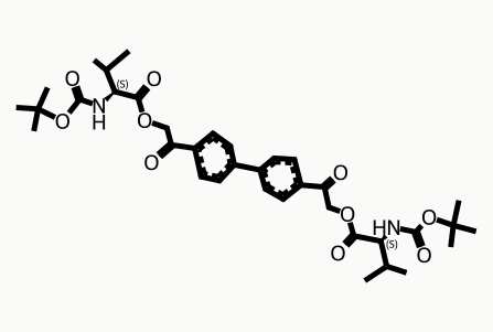 CC(C)[C@H](NC(=O)OC(C)(C)C)C(=O)OCC(=O)c1ccc(-c2ccc(C(=O)COC(=O)[C@@H](NC(=O)OC(C)(C)C)C(C)C)cc2)cc1